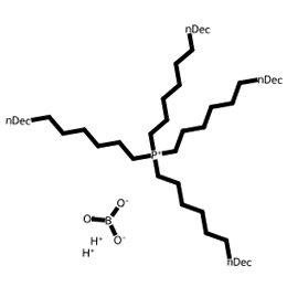 CCCCCCCCCCCCCCCC[P+](CCCCCCCCCCCCCCCC)(CCCCCCCCCCCCCCCC)CCCCCCCCCCCCCCCC.[H+].[H+].[O-]B([O-])[O-]